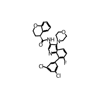 O=C(Nc1cnc2c(-c3cc(Cl)cc(Cl)c3)c(F)ccc2c1N1CCOCC1)[C@H]1CCOc2ccccc21